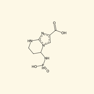 O=C(O)c1cn2c(n1)NCCC2N[PH](=O)O